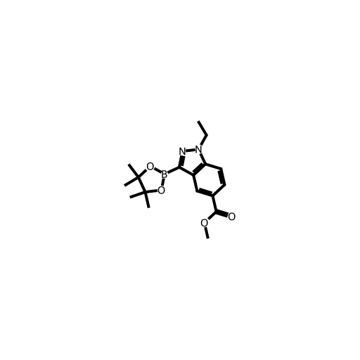 CCn1nc(B2OC(C)(C)C(C)(C)O2)c2cc(C(=O)OC)ccc21